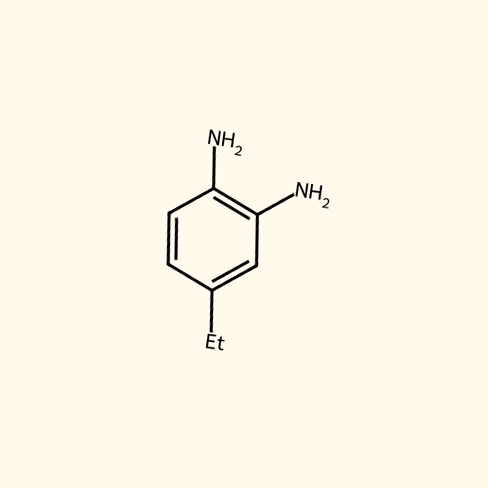 [CH2]Cc1ccc(N)c(N)c1